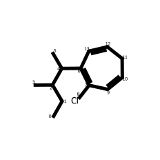 CCC(C)C(C)C1=C(Cl)C=CCC=C1